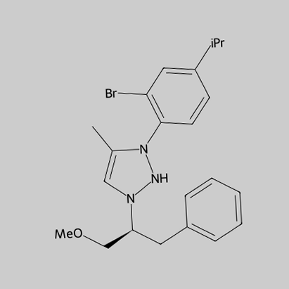 COC[C@H](Cc1ccccc1)N1C=C(C)N(c2ccc(C(C)C)cc2Br)N1